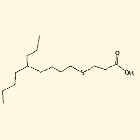 CCCCC(CCC)CCCCSCCC(=O)O